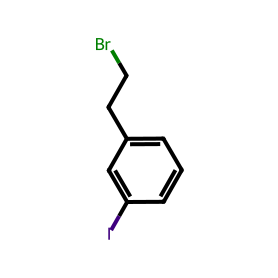 BrCCc1cccc(I)c1